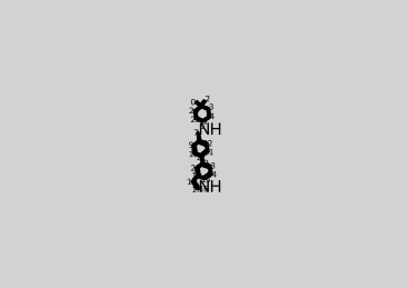 CC1(C)CCC(NCc2ccc(-c3ccc4[nH]ccc4c3)cc2)CC1